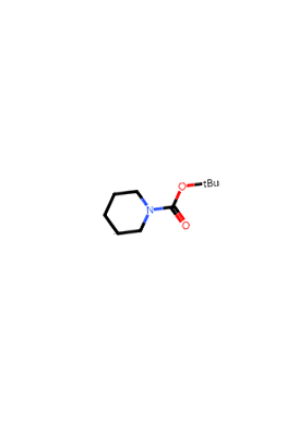 CC(C)(C)OC(=O)N1C[CH]CCC1